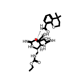 CCOC(=O)NC[C@@H]1NC(=N)N2C[C@H](NC(=O)c3cccc4c3OCCC4(C)C)C(O)(O)[C@@]23NC(=N)N[C@@H]13